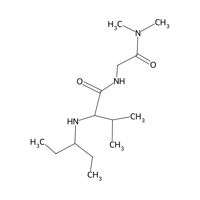 CCC(CC)NC(C(=O)NCC(=O)N(C)C)C(C)C